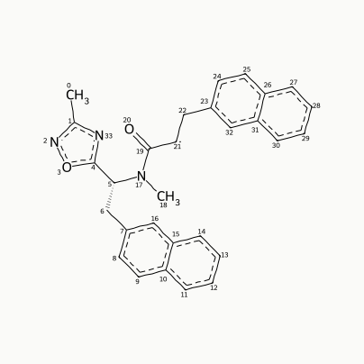 Cc1noc([C@@H](Cc2ccc3ccccc3c2)N(C)C(=O)[CH]Cc2ccc3ccccc3c2)n1